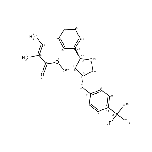 CC=C(C)C(=O)OC[C@H]1[C@@H](Cc2ccc(C(F)(F)F)cc2)CO[C@@H]1c1ccccc1